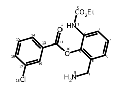 CCOC(=O)Nc1cccc(CN)c1OC(=O)c1cccc(Cl)c1